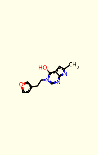 Cc1cc2c(O)n(CCc3ccoc3)cnc-2n1